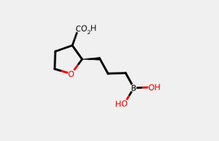 O=C(O)C1CCO[C@@H]1CCCB(O)O